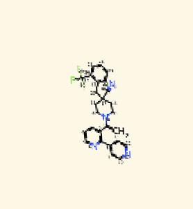 C=C(c1cccnc1-c1ccncc1)N1CCC(C#N)(Cc2ccccc2C(F)(F)F)CC1